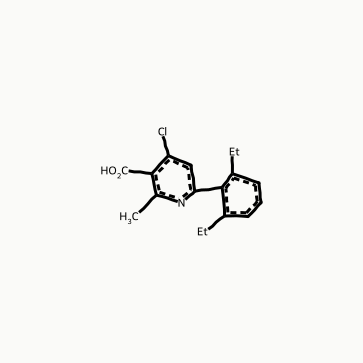 CCc1cccc(CC)c1-c1cc(Cl)c(C(=O)O)c(C)n1